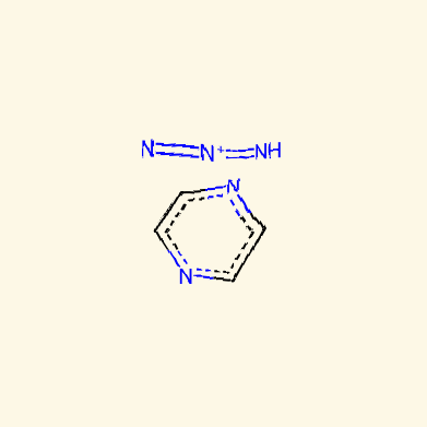 [N-]=[N+]=N.c1cnccn1